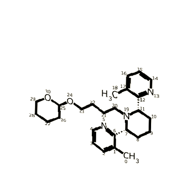 Cc1cccnc1[C@H]1CCC[C@@H](c2ncccc2C)N1CCCCOC1CCCCO1